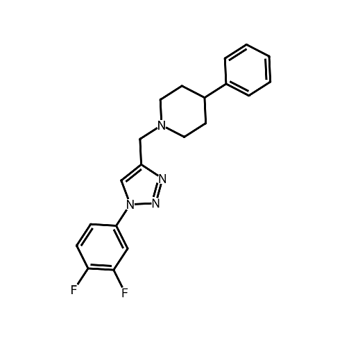 Fc1ccc(-n2cc(CN3CCC(c4ccccc4)CC3)nn2)cc1F